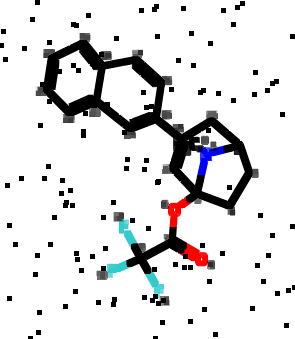 CN1C2CCC1(OC(=O)C(F)(F)F)C=C(c1ccc3ccccc3c1)C2